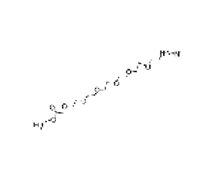 CCOC(=O)COCCOCCOCCOCCOCCOCCN=[N+]=[N-]